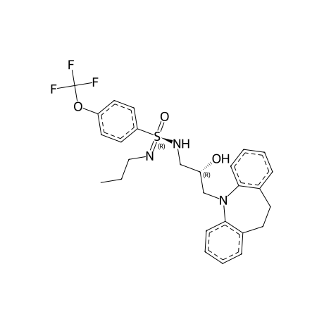 CCCN=[S@](=O)(NC[C@H](O)CN1c2ccccc2CCc2ccccc21)c1ccc(OC(F)(F)F)cc1